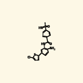 CS(=N)(=O)c1ccc(C(=O)Nc2cc(-c3ccc(Cl)s3)ccc2N)cc1